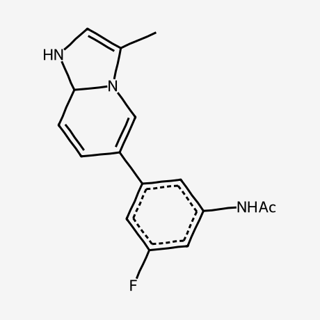 CC(=O)Nc1cc(F)cc(C2=CN3C(C)=CNC3C=C2)c1